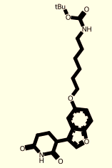 CC(C)(C)OC(=O)NCCCCCCOc1ccc2occ(C3CCC(=O)NC3=O)c2c1